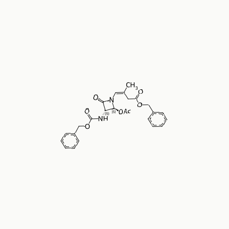 CC(=O)O[C@H]1[C@H](NC(=O)OCc2ccccc2)C(=O)N1C=C(C)CC(=O)OCc1ccccc1